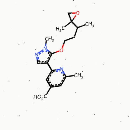 Cc1cc(C(=O)O)cc(-c2cnn(C)c2OCCC(C)C2(C)CO2)n1